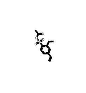 C=Cc1ccc(S(=O)(=O)OC(C)=O)c(CC)c1